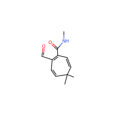 CNC(=O)C1=C(C=O)C=CC(C)(C)C=C1